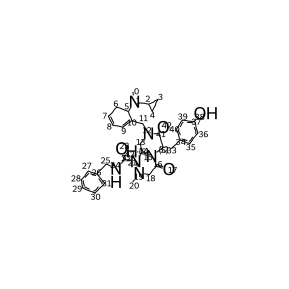 CN(C1CC1)C1CC=CC=C1CN1C[C@H]2N(C(=O)CN(C)N2C(=O)NCc2ccccc2)[C@@H](Cc2ccc(O)cc2)C1=O